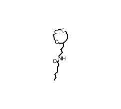 CCCCCCC(=O)NCCCCC1CCCCCCCCCCC1